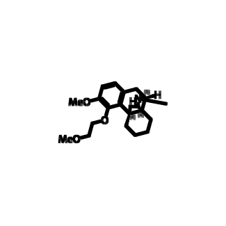 COCCOc1c(OC)ccc2c1[C@@]13CCCC[C@H]1[C@@H](C2)N(C)CC3